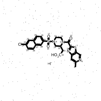 Cc1cc2c(cn1)SC(C(=O)N1CCN(S(=O)(=O)c3ccc4cc(Cl)ccc4c3)CC1CC(=O)O)=[N+]2.[I-]